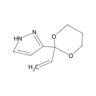 C=CC1(c2cc[nH]n2)OCCCO1